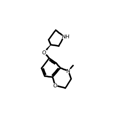 CN1CCOc2ccc(O[C@H]3CCNC3)cc21